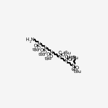 CC(C)(C)OC(=O)N(CCCN)CCCN(CCCN(CCCCN(CCCN(CCCN(CCCN)C(=O)OC(C)(C)C)C(=O)OC(C)(C)C)C(=O)OC(C)(C)C)C(=O)OC(C)(C)C)C(=O)OC(C)(C)C